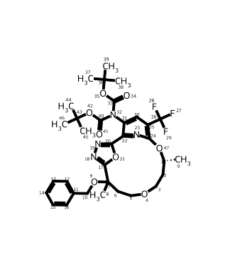 C[C@@H]1CCOCCC(C)(OCc2ccccc2)c2nnc(o2)-c2nc(c(C(F)(F)F)cc2N(C(=O)OC(C)(C)C)C(=O)OC(C)(C)C)O1